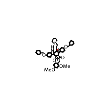 COc1ccc(CN2C(=O)c3c(c4c5ccc(OCc6ccccc6)cc5n(CCN5CCCCC5)c4c4[nH]c5cc(OCc6ccccc6)ccc5c34)C2=O)c(OC)c1